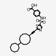 O=C(O)c1ccc(NS(=O)(=O)c2cnc(C#CC3CCCCC(C4CCCCCCC4)CCCC3)s2)cc1